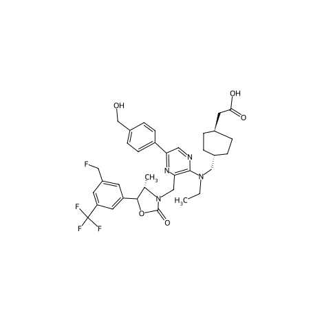 CCN(C[C@H]1CC[C@H](CC(=O)O)CC1)c1ncc(-c2ccc(CO)cc2)nc1CN1C(=O)OC(c2cc(CF)cc(C(F)(F)F)c2)[C@@H]1C